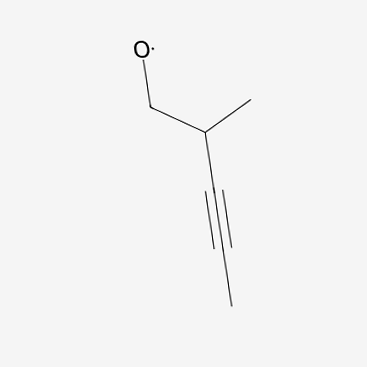 CC#CC(C)C[O]